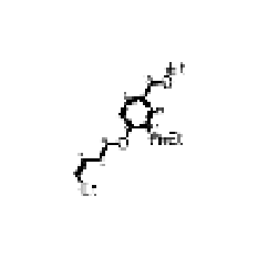 CC/C=C\CCOc1ccc(COCC)cc1OCC